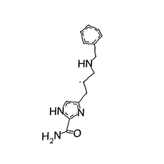 NC(=O)c1nc(C[CH]CNCc2ccccc2)c[nH]1